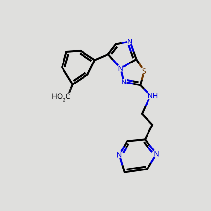 O=C(O)c1cccc(-c2cnc3sc(NCCc4cnccn4)nn23)c1